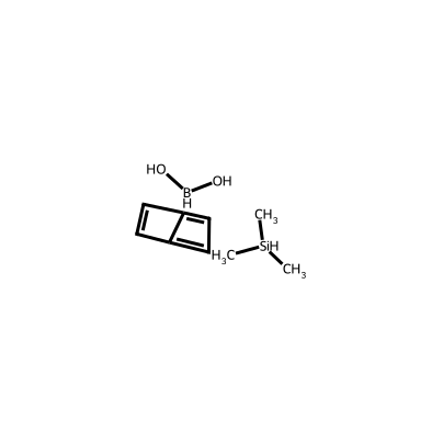 C[SiH](C)C.OBO.c1cc2ccc1-2